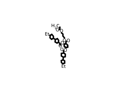 C=CC(=O)OCCCCOC(=O)c1ccc(OC(=O)C2CCC(C3CCC(CC)CC3)CC2)cc1OC(=O)C1CCC(C2CCC(CC)CC2)CC1